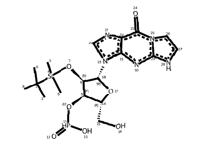 CC(C)(C)[Si](C)(C)O[C@@H]1[C@H](O[PH](=O)O)[C@@H](CO)O[C@H]1n1cnc2c(=O)n3cc[nH]c3nc21